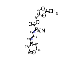 CC1OCC(COC(=O)/C(C#N)=C/C=C/N2CCOCC2)O1